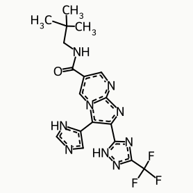 CC(C)(C)CNC(=O)c1cnc2nc(-c3nc(C(F)(F)F)n[nH]3)c(-c3cnc[nH]3)n2c1